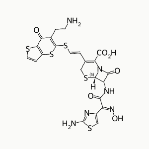 NCCc1c(SC=CC2=C(C(=O)O)N3C(=O)C(NC(=O)C(=NO)c4csc(N)n4)[C@@H]3SC2)sc2ccsc2c1=O